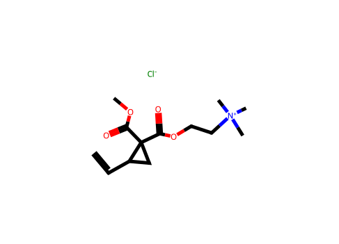 C=CC1CC1(C(=O)OC)C(=O)OCC[N+](C)(C)C.[Cl-]